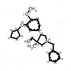 COc1ccc([C@@H]2CN(Cc3ccccc3)C[C@@]2(C)C=O)cc1OC1CCCC1